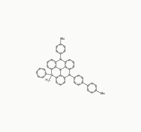 CC(C)(C)c1ccc(-c2ccc(N3c4cccc5c4B4c6c3cccc6[Si](C)(c3ccccc3)c3cccc(c34)N5c3ccc(C(C)(C)C)cc3)cc2)cc1